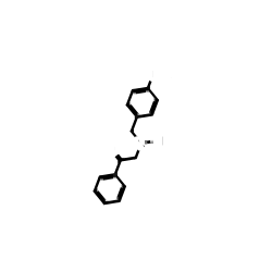 CN(CC(=O)c1ccccc1)Cc1ccc(C(C)(C)C)cc1